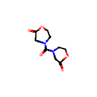 O=C1CN(C(=O)N2CCOC(=O)C2)CCO1